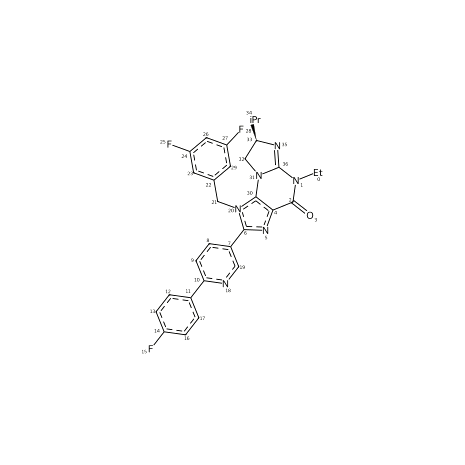 CCN1C(=O)c2nc(-c3ccc(-c4ccc(F)cc4)nc3)n(Cc3cc(F)cc(F)c3)c2N2C[C@@H](C(C)C)N=C12